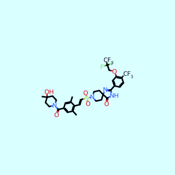 Cc1cc(C(=O)N2CCC(C)(O)CC2)cc(C)c1/C=C/S(=O)(=O)N1CCC2(CC1)N=C(c1ccc(C(F)(F)F)c(OCC(F)(F)C(F)(F)F)c1)NC2=O